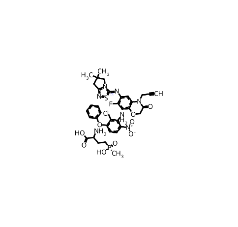 C#CCN1C(=O)COc2cc(F)c(/N=c3\snc4n3CC(C)(C)C4)cc21.CP(=O)(O)CCC(N)C(=O)O.Nc1c([N+](=O)[O-])ccc(Oc2ccccc2)c1Cl